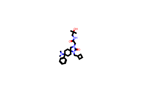 CN(C)C1(c2ccccc2)CCC2(CC1)CN(CC(=O)NCC(C)(C)O)C(=O)N2CC1CCC1